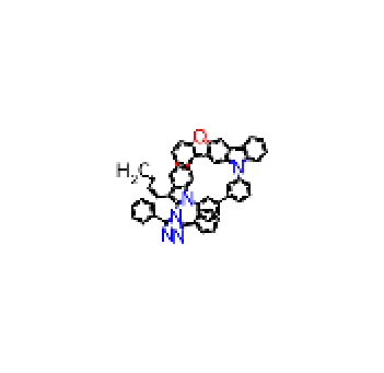 C=C/C=C\c1c(-n2c(-c3ccccc3)nnc2-c2ccccc2)n(-c2cccc(-c3cccc(-n4c5ccccc5c5cc6oc7ccccc7c6cc54)c3)c2)c2ccccc12